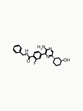 Nc1ncc([C@@H]2CCC[C@H](O)C2)nc1-c1ccc(C(=O)NCc2ccccc2)c(F)c1